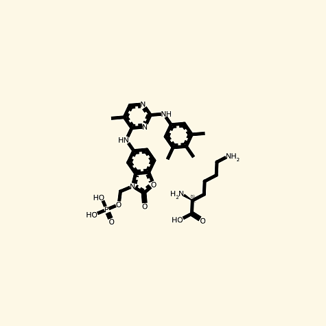 Cc1cnc(Nc2cc(C)c(C)c(C)c2)nc1Nc1ccc2oc(=O)n(COP(=O)(O)O)c2c1.NCCCC[C@H](N)C(=O)O